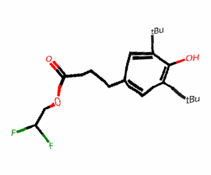 CC(C)(C)c1cc(CCC(=O)OCC(F)F)cc(C(C)(C)C)c1O